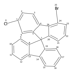 Clc1ccc2c(c1)C1(c3ccccc3-c3ccccc31)c1cccc(Br)c1-2